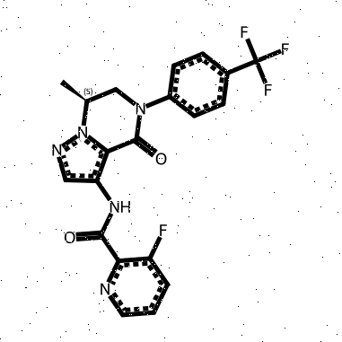 C[C@H]1CN(c2ccc(C(F)(F)F)cc2)C(=O)c2c(NC(=O)c3ncccc3F)cnn21